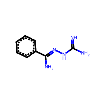 N=C(N)NN=C(N)c1ccccc1